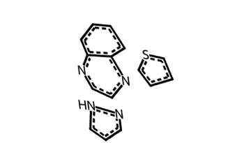 c1ccc2nccnc2c1.c1ccsc1.c1cn[nH]c1